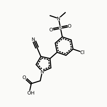 CN(C)S(=O)(=O)c1cc(Cl)cc(-c2cn(CC(=O)O)cc2C#N)c1